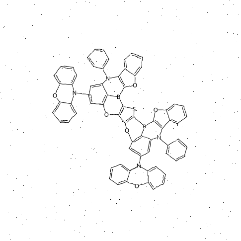 c1ccc(N2c3cc(N4c5ccccc5Oc5ccccc54)cc4c3B(c3oc5ccccc5c32)c2sc3c(c2O4)Oc2cc(N4c5ccccc5Oc5ccccc54)cc4c2B3c2oc3ccccc3c2N4c2ccccc2)cc1